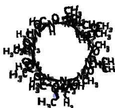 C/C=C/C[C@@H](C)[C@@H](O)[C@H]1C(=O)N[C@@H](CC)C(=O)N(C)[C@H](CCN(C)C)C(=O)N(C)[C@@H](CC(C)(C)OC)C(=O)N[C@@H](C(C)C)C(=O)N(C)[C@@H](CC(C)C)C(=O)N[C@@H](C)C(=O)N[C@H](C)C(=O)N(C)[C@@H](CC(C)C)C(=O)N(C)[C@@H](CC(C)C)C(=O)N(C)[C@@H](C(C)C)C(=O)N1C